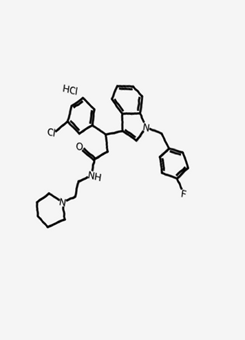 Cl.O=C(CC(c1cccc(Cl)c1)c1cn(Cc2ccc(F)cc2)c2ccccc12)NCCN1CCCCC1